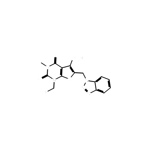 CC(C)Cn1c(=O)n(C)c(=O)c2c(C(=O)O)c(Cn3nnc4ccccc43)sc21